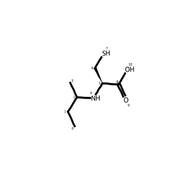 CCC(C)N[C@@H](CS)C(=O)O